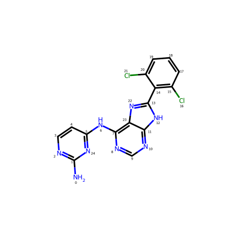 Nc1nccc(Nc2ncnc3[nH]c(-c4c(Cl)cccc4Cl)nc23)n1